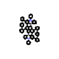 c1ccc(-c2cc3c4c(c2)N(c2ccccc2)c2ccccc2B4c2cc4c(-c5ccccc5-c5ccccc5)cc5c6c(cc7c(-c8ccccc8-c8ccccc8)cc-3c2c7c46)B2c3ccccc3N(c3ccccc3)c3cc(-c4ccccc4)cc-5c32)cc1